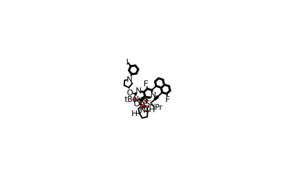 CC(C)[Si](C#Cc1c(F)ccc2cccc(-c3ncc4c(N5C[C@H]6CC[C@@H](C5)N6C(=O)OC(C)(C)C)nc(O[C@@H]5CCN(c6cccc(I)c6)C5)nc4c3F)c12)(C(C)C)C(C)C